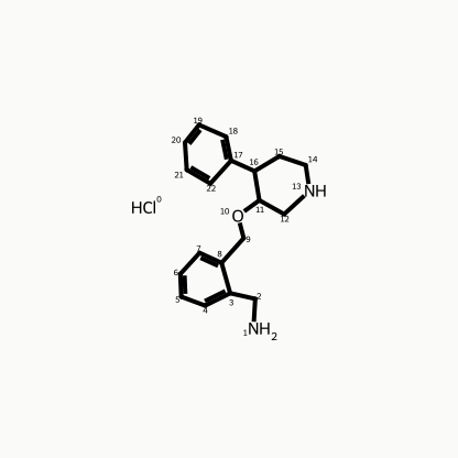 Cl.NCc1ccccc1COC1CNCCC1c1ccccc1